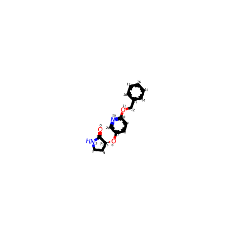 O=C1NCC[C@H]1Oc1ccc(OCc2ccccc2)nc1